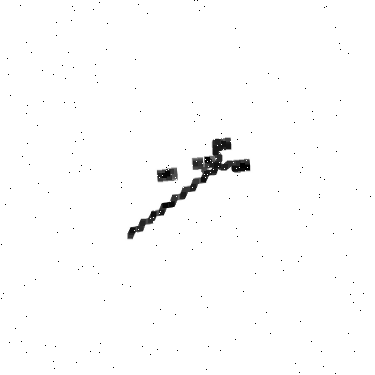 CCCCCCCCCCCCCCCCCC(N)(CCO)CCO.Cl